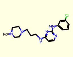 CC(=O)N1CCN(CCCNc2ccnc(Nc3cccc(Cl)c3)n2)CC1